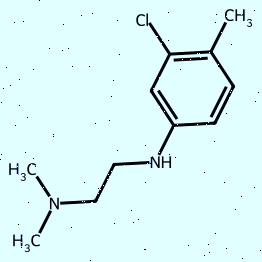 Cc1ccc(NCCN(C)C)cc1Cl